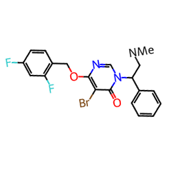 CNCC(c1ccccc1)n1cnc(OCc2ccc(F)cc2F)c(Br)c1=O